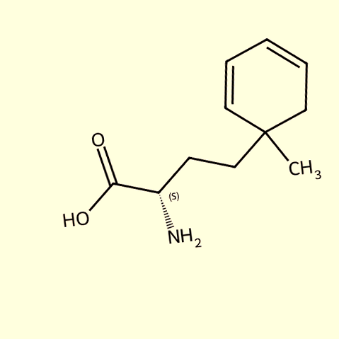 CC1(CC[C@H](N)C(=O)O)C=CC=CC1